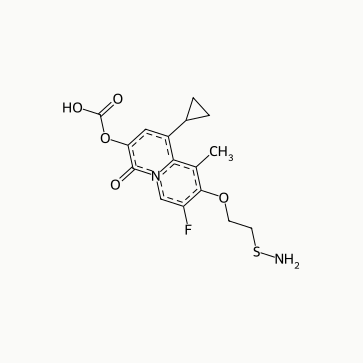 Cc1c(OCCSN)c(F)cn2c(=O)c(OC(=O)O)cc(C3CC3)c12